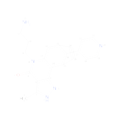 Cc1[nH]nc2c1c(=O)n(CCCN)c1cc3c(-c4ccncc4)c(c21)C#C3